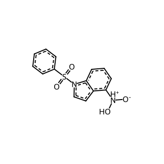 O=S(=O)(c1ccccc1)n1ccc2c([NH+]([O-])O)cccc21